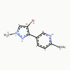 CC(=O)Nc1ccc(-c2nn(C)cc2Br)cn1